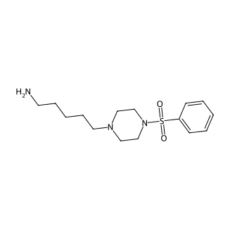 NCCCCCN1CCN(S(=O)(=O)c2ccccc2)CC1